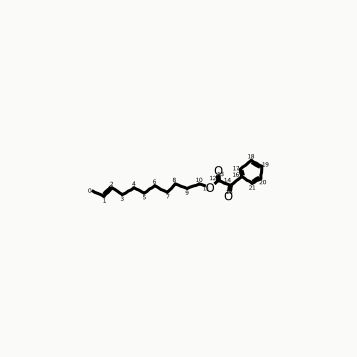 CC=CCCCCCCCCOC(=O)C(=O)c1ccccc1